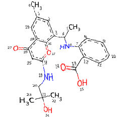 Cc1cc(C(C)Nc2ccccc2C(=O)O)c2oc(NCC(C)(C)O)cc(=O)c2c1